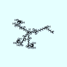 C=C(C)CCCCOP(O)OCCCCCCSC1CC(=O)N(CCC(=O)NC(COCCC(=O)NCCCCC(C(=O)O)N(CC(=O)O)CC(=O)O)(COCCC(=O)NCCCCC(C(=O)O)N(CC(=O)O)CC(=O)O)COCCC(=O)NCCCCC(C(=O)O)N(CC(=O)O)CC(O)O)C1=O